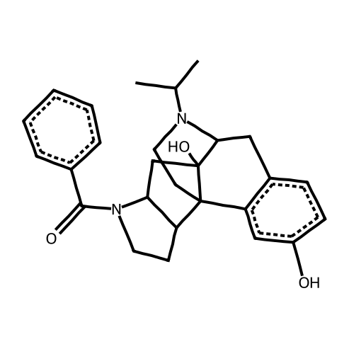 CC(C)N1CCC23c4cc(O)ccc4CC1C2(O)CC1C3CCN1C(=O)c1ccccc1